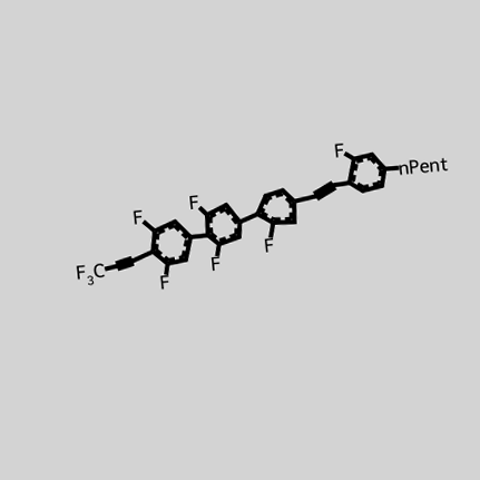 CCCCCc1ccc(C#Cc2ccc(-c3cc(F)c(-c4cc(F)c(C#CC(F)(F)F)c(F)c4)c(F)c3)c(F)c2)c(F)c1